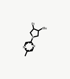 CCC1CN(c2cnc(C)cn2)CC1C(C)(C)C